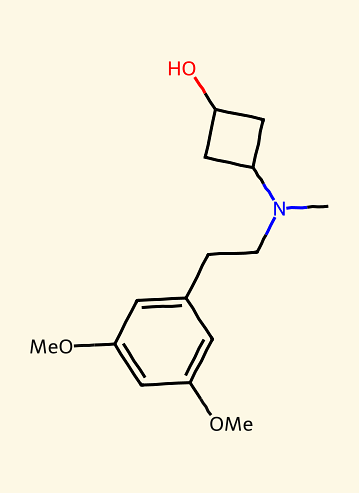 COc1cc(CCN(C)C2CC(O)C2)cc(OC)c1